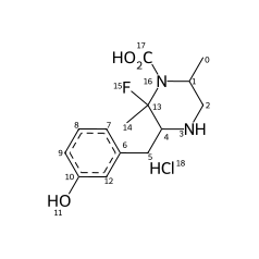 CC1CNC(Cc2cccc(O)c2)C(C)(F)N1C(=O)O.Cl